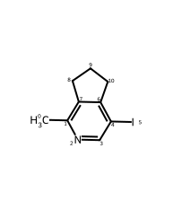 Cc1ncc(I)c2c1CCC2